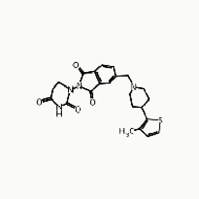 Cc1ccsc1C1CCN(Cc2ccc3c(c2)C(=O)N(N2CCC(=O)NC2=O)C3=O)CC1